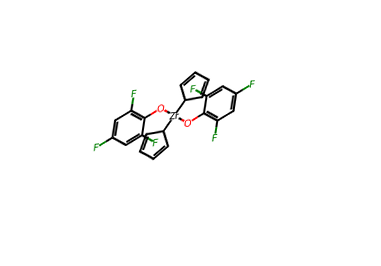 Fc1cc(F)c([O][Zr]([O]c2c(F)cc(F)cc2F)([CH]2C=CC=C2)[CH]2C=CC=C2)c(F)c1